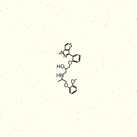 COc1ccccc1OCC(C)NCC(O)COc1ccccc1-c1nn(C)c2ccsc12